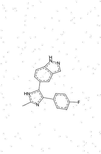 Cc1nc(-c2ccc(F)cc2)c(-c2ccc3[nH]ncc3c2)[nH]1